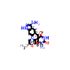 C[C@@H]1CN2c3cc4[nH]nc(N)c4cc3CC3(C(=O)NC(=O)NC3=O)[C@H]2[C@H](C)O1